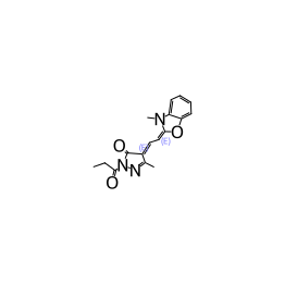 CCC(=O)N1N=C(C)/C(=C\C=C2\Oc3ccccc3N2C)C1=O